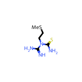 CSCCN(C(=N)N)C(N)=S